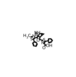 Cc1nc(C(=O)C2(N=N)CC3CC3C2Cc2nc(C(=O)O)c(-c3ccccc3)s2)c(-c2ccccc2)s1